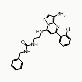 Bc1cnn2c(NCCNC(=O)NCc3ccccc3)cc(-c3ccccc3Cl)nc12